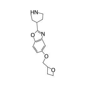 c1cc2oc(C3CCNCC3)nc2cc1OCC1CCO1